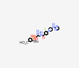 CC(C)(C)c1cc(C(=O)O)ccc1S(=O)(=O)OC(=O)[C@@H](N)CNC(=O)c1ccc(N2CCC(Nc3ncccn3)CC2)c(F)c1